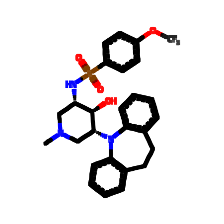 CN1C[C@H](NS(=O)(=O)c2ccc(OC(F)(F)F)cc2)[C@@H](O)[C@H](N2c3ccccc3CCc3ccccc32)C1